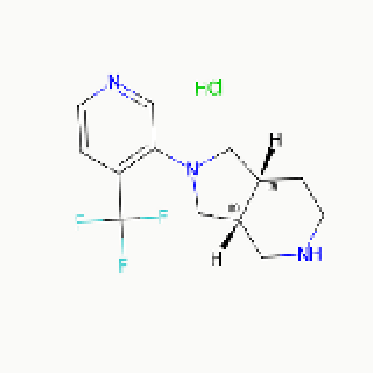 Cl.FC(F)(F)c1ccncc1N1C[C@H]2CNCC[C@H]2C1